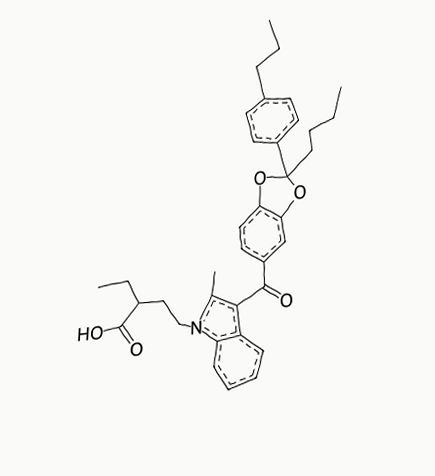 CCCCC1(c2ccc(CCC)cc2)Oc2ccc(C(=O)c3c(C)n(CCC(CC)C(=O)O)c4ccccc34)cc2O1